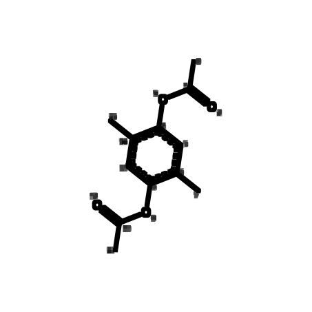 CC(=O)Oc1cc(C)c(OC(C)=O)cc1C